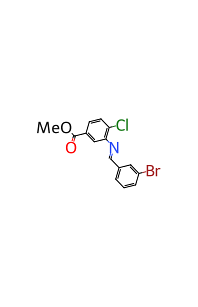 COC(=O)c1ccc(Cl)c(N=Cc2cccc(Br)c2)c1